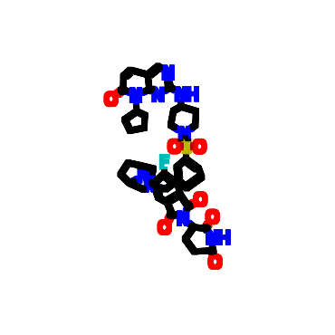 O=C1CCC(N2C(=O)c3cc(F)c(N4C5CCC4CN(Cc4cccc(S(=O)(=O)N6CCC(Nc7ncc8ccc(=O)n(C9CCCC9)c8n7)CC6)c4)C5)cc3C2=O)C(=O)N1